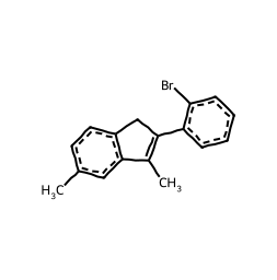 CC1=C(c2ccccc2Br)Cc2ccc(C)cc21